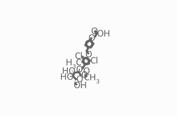 CO[C@H]1O[C@H](CO)[C@@H](O)[C@H](O)[C@H]1OC(=O)c1cc(Cl)c(OCc2ccc(OCC(=O)O)cc2)c(Cl)c1C